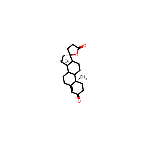 C[C@]12CCC(=O)C=C1CCC1C2CC[C@@]2(C)C1CC[C@@]21CCC(=O)O1